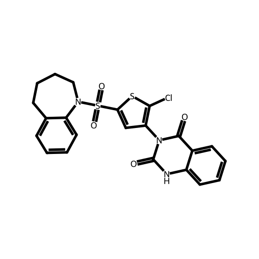 O=c1[nH]c2ccccc2c(=O)n1-c1cc(S(=O)(=O)N2CCCCc3ccccc32)sc1Cl